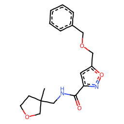 CC1(CNC(=O)c2cc(COCc3ccccc3)on2)CCOC1